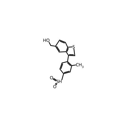 Cc1cc(C[SH](=O)=O)ccc1-c1csc2ccc(CO)cc12